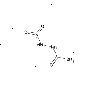 BC(=O)NN[SH](=O)=O